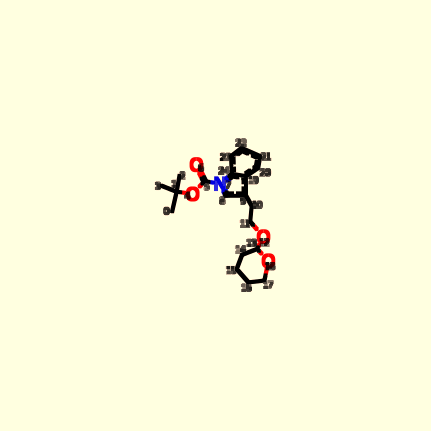 CC(C)(C)OC(=O)n1cc(CCOC2CCCCO2)c2ccccc21